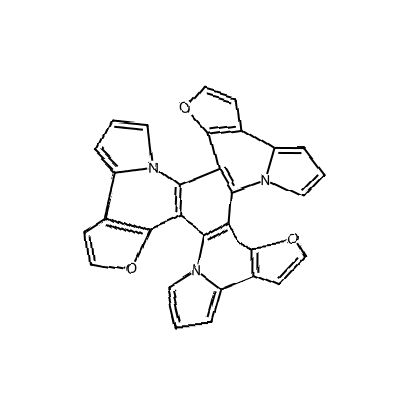 c1cc2c3ccoc3c3c(c4c5occc5c5cccn5c4c4c5occc5c5cccn5c34)n2c1